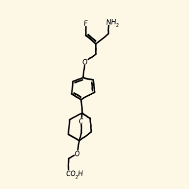 NCC(=CF)COc1ccc(C23CCC(OCC(=O)O)(CC2)CC3)cc1